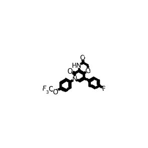 O=C1COc2c(-c3ccc(F)cc3)cn(-c3ccc(OC(F)(F)F)cc3)c(=O)c2N1